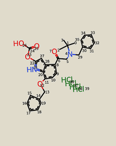 CC(C)(C)N(CC(=O)c1ccc(OCc2ccccc2)c2[nH]c(OC(=O)O)cc12)Cc1ccccc1.Cl.Cl.Cl.Cl